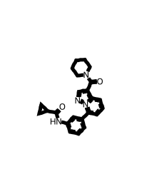 O=C(Nc1cccc(-c2cccc3c(C(=O)N4CCCCC4)cnn23)c1)C1CC1